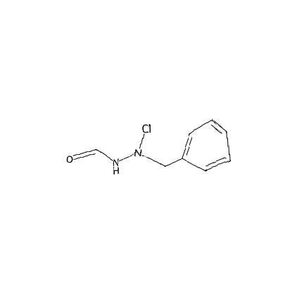 O=CNN(Cl)Cc1ccccc1